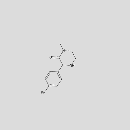 CC(C)c1ccc(C2NCCN(C)C2=O)cc1